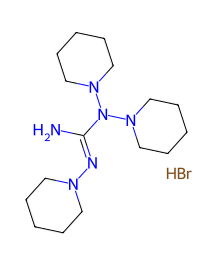 Br.NC(=NN1CCCCC1)N(N1CCCCC1)N1CCCCC1